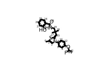 CC1=CN(c2ccc(OC(F)F)cc2)C(=CC(C)(C)CNC(=O)c2ccccc2O)S1